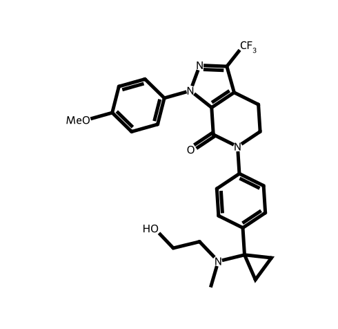 COc1ccc(-n2nc(C(F)(F)F)c3c2C(=O)N(c2ccc(C4(N(C)CCO)CC4)cc2)CC3)cc1